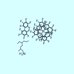 CCCC(CC)CCC(C)C[NH2+]C.Fc1c(F)c(F)c(-c2c(F)c(F)c(F)c(F)c2F)c(F)c1F.Fc1c(F)c(F)c2c([B-](c3c(F)c(F)c(F)c4c(F)c(F)c(F)c(F)c34)(c3c(F)c(F)c(F)c4c(F)c(F)c(F)c(F)c34)c3c(F)c(F)c(F)c4c(F)c(F)c(F)c(F)c34)c(F)c(F)c(F)c2c1F